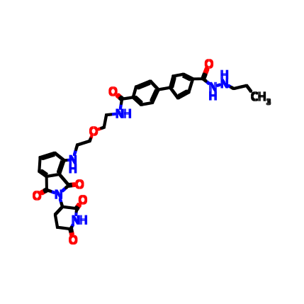 CCCNNC(=O)c1ccc(-c2ccc(C(=O)NCCOCCNc3cccc4c3C(=O)N(C3CCC(=O)NC3=O)C4=O)cc2)cc1